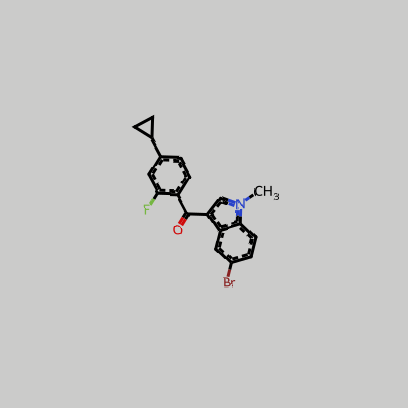 Cn1cc(C(=O)c2ccc(C3CC3)cc2F)c2cc(Br)ccc21